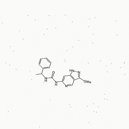 COc1n[nH]c2cc(NC(=O)NC(C)c3ccccc3)ncc12